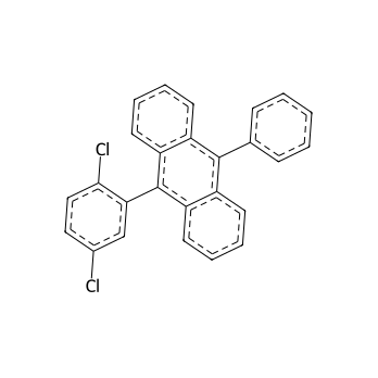 Clc1ccc(Cl)c(-c2c3ccccc3c(-c3ccccc3)c3ccccc23)c1